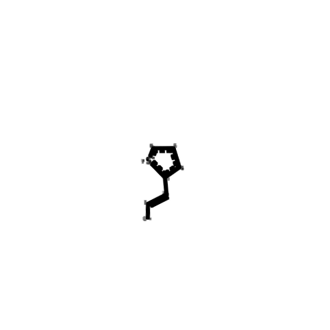 [CH2]/C=C/c1cccs1